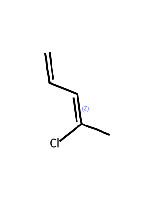 C=C/C=C(/C)Cl